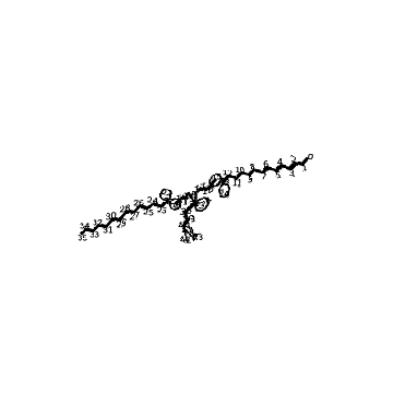 CCCCCCCCCCCCCC(=O)OCCN(COC(=O)CCCCCCCCCCCCC)C(=O)CCCN(C)C